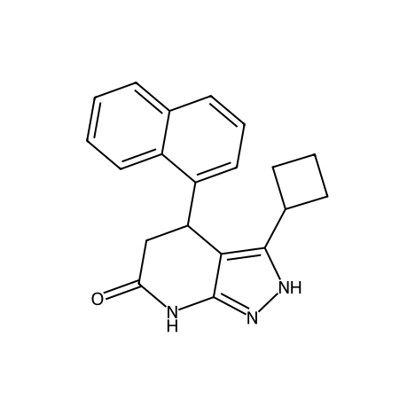 O=C1CC(c2cccc3ccccc23)c2c(n[nH]c2C2CCC2)N1